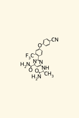 CC(Nc1cc(C(N)=O)nc(-c2ccc(Oc3ccc(C#N)cc3)cc2C(F)(F)F)n1)C(N)=O